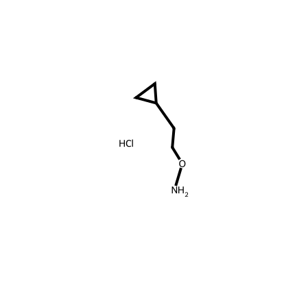 Cl.NOCCC1CC1